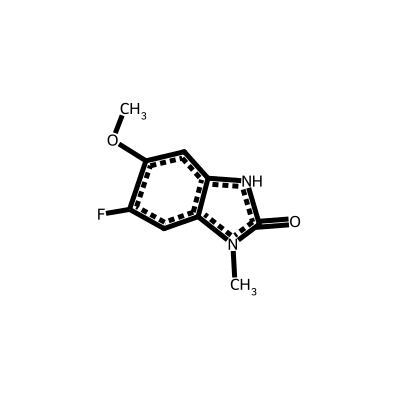 COc1cc2[nH]c(=O)n(C)c2cc1F